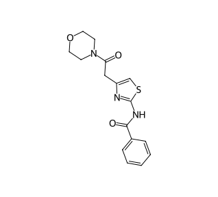 O=C(Nc1nc(CC(=O)N2CCOCC2)cs1)c1ccccc1